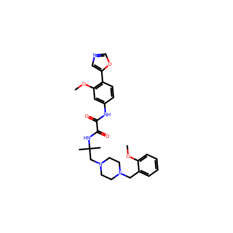 COc1ccccc1CN1CCN(CC(C)(C)NC(=O)C(=O)Nc2ccc(-c3cnco3)c(OC)c2)CC1